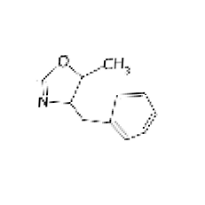 CC1O[C]=NC1Cc1ccccc1